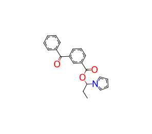 CCC(OC(=O)c1cccc(C(=O)c2ccccc2)c1)n1cccc1